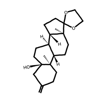 C=C1CC[C@]2(C)[C@H]3CC[C@@]4(C)[C@@H](CCC45OCCO5)[C@@H]3CC[C@@]2(O)C1